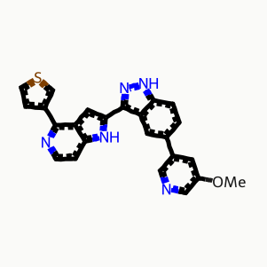 COc1cncc(-c2ccc3[nH]nc(-c4cc5c(-c6ccsc6)nccc5[nH]4)c3c2)c1